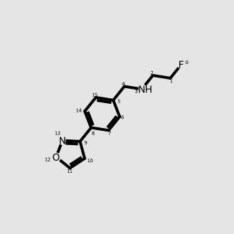 FCCNCc1ccc(-c2ccon2)cc1